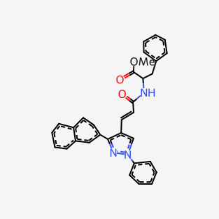 COC(=O)C(Cc1ccccc1)NC(=O)/C=C/c1cn(-c2ccccc2)nc1-c1ccc2ccccc2c1